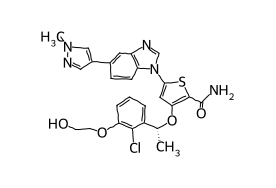 C[C@@H](Oc1cc(-n2cnc3cc(-c4cnn(C)c4)ccc32)sc1C(N)=O)c1cccc(OCCO)c1Cl